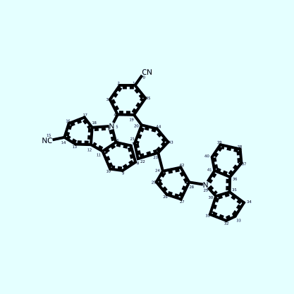 N#Cc1ccc(-n2c3ccccc3c3cc(C#N)ccc32)c(-c2ccc(-c3cccc(-n4c5ccccc5c5ccccc54)c3)cc2)c1